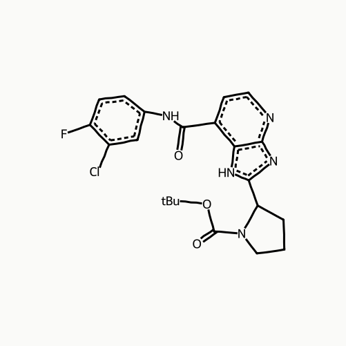 CC(C)(C)OC(=O)N1CCCC1c1nc2nccc(C(=O)Nc3ccc(F)c(Cl)c3)c2[nH]1